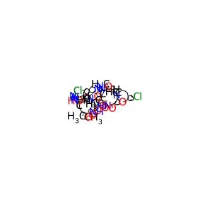 CO[C@@]1(Cn2cc(C3Oc4ccc5cc4N(C[C@@H]4CC[C@H]4[C@@](O)(Cn4ccnn4)CCC[C@H](C)[C@@H](C)S(=O)(=O)NC5=O)C[C@@]34CCCc3cc(Cl)ccc34)nn2)CCC[C@H](C)[C@@H](C)S(=O)(=O)NC(=O)c2ccc3c(c2)N(CCCCc2cc(Cl)ccc2CO3)C[C@@H]2CC[C@H]21